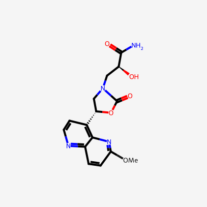 COc1ccc2nccc([C@@H]3CN(C[C@H](O)C(N)=O)C(=O)O3)c2n1